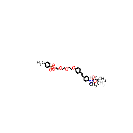 Cc1ccc(S(=O)(=O)OCCOCCOCCOc2ccc(C=Cc3ccc(N(C)C(=O)OC(C)(C)C)cc3)cc2)cc1